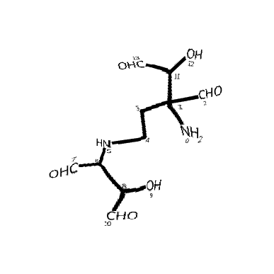 NC(C=O)(CCNC(C=O)C(O)C=O)C(O)C=O